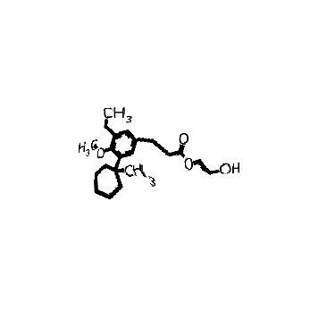 CCc1cc(CCC(=O)OCCO)cc(C2(C)CCCCC2)c1OC